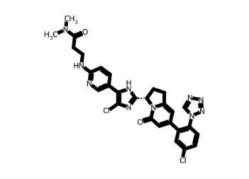 CN(C)C(=O)CCNc1ccc(-c2[nH]c([C@@H]3CCc4cc(-c5cc(Cl)ccc5-n5cnnn5)cc(=O)n43)nc2Cl)cn1